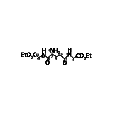 CCOC(=O)CNC(=O)CCC(N)C(=O)NCC(=O)OCC